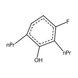 CCCc1ccc(F)c(CCC)c1O